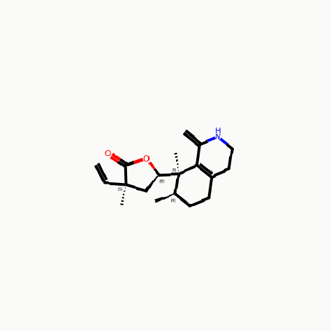 C=C[C@]1(C)C[C@H]([C@@]2(C)C3=C(CCNC3=C)CC[C@H]2C)OC1=O